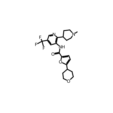 CN1CCC(c2ncc(C(F)(F)F)cc2NC(=O)c2ccc(C3CCOCC3)o2)CC1